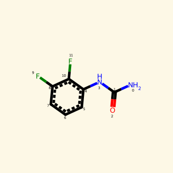 NC(=O)Nc1cccc(F)c1F